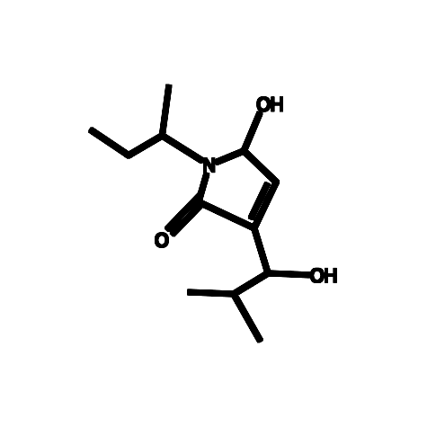 CCC(C)N1C(=O)C(C(O)C(C)C)=CC1O